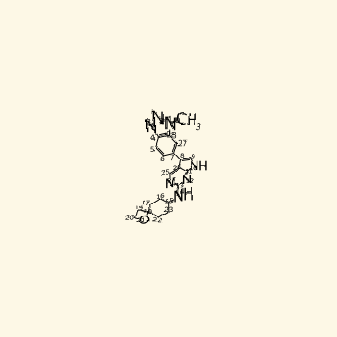 Cn1nnc2ccc(-c3c[nH]c4nc(NC5CCC6(CCO6)CC5)ncc34)cc21